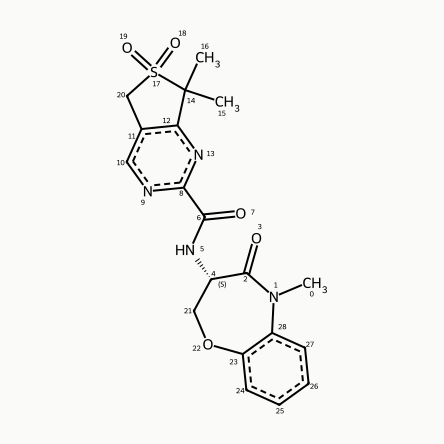 CN1C(=O)[C@@H](NC(=O)c2ncc3c(n2)C(C)(C)S(=O)(=O)C3)COc2ccccc21